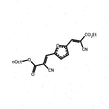 CCCCCCCCOC(=O)/C(C#N)=C/c1ccc(/C=C(\C#N)C(=O)OCC)o1